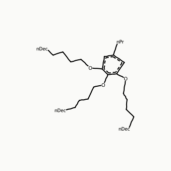 [CH2]CCc1cc(OCCCCCCCCCCCCCC)c(OCCCCCCCCCCCCCC)c(OCCCCCCCCCCCCCC)c1